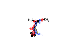 C=CCOC(=O)CNCc1ccc([C@H]2C[C@H](N3CC/C(=C\C4=C(C(=O)O)N5C(=O)[C@@H](NC(=O)/C(=N\OC(c6ccccc6)(c6ccccc6)c6ccccc6)c6nsc(N)n6)[C@H]5SC4)C3=O)CN2C(=O)OCC=C)cc1